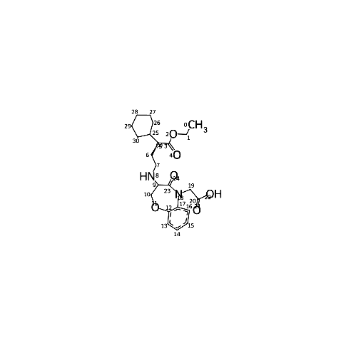 CCOC(=O)[C@@H](CCNC1COc2ccccc2N(CC(=O)O)C1=O)C1CCCCC1